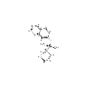 O=S(=O)(Oc1ccc2ccccc2n1)c1ccccc1